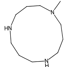 CN1CCCNCCCNCCC1